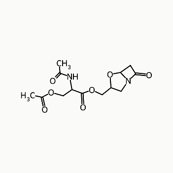 CC(=O)NC(COC(C)=O)C(=O)OCC1CN2C(=O)CC2O1